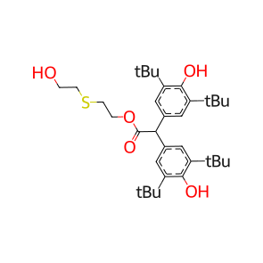 CC(C)(C)c1cc(C(C(=O)OCCSCCO)c2cc(C(C)(C)C)c(O)c(C(C)(C)C)c2)cc(C(C)(C)C)c1O